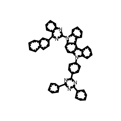 c1ccc(-c2nc(-c3ccccc3)nc(-c3ccc(-n4c5ccccc5c5c6c7ccccc7n(-c7nc(-c8ccc9ccccc9c8)c8ccccc8n7)c6ccc54)cc3)n2)cc1